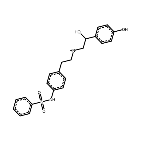 O=S(=O)(Nc1ccc(CCNCC(O)c2ccc(O)cc2)cc1)c1ccccc1